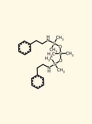 C[Si](C)(NCCc1ccccc1)O[Si](C)(C)O[Si](C)(C)NCCc1ccccc1